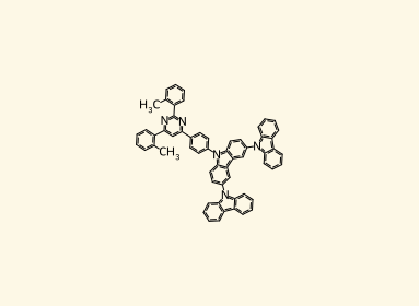 Cc1ccccc1-c1cc(-c2ccc(-n3c4ccc(-n5c6ccccc6c6ccccc65)cc4c4cc(-n5c6ccccc6c6ccccc65)ccc43)cc2)nc(-c2ccccc2C)n1